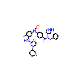 Cc1ccc(N(C=O)c2ccc(C(F)N(Cc3ccccc3)C3CCNC3)cc2)cc1Nc1nccc(-c2cccnc2)n1